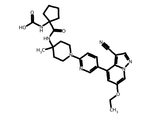 CCOc1cc(-c2ccc(N3CCC(C)(NC(=O)C4(NC(=O)O)CCCC4)CC3)nc2)c2c(C#N)cnn2c1